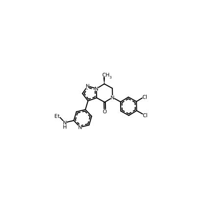 CCNc1cc(-c2cnn3c2C(=O)N(c2ccc(Cl)c(Cl)c2)C[C@@H]3C)ccn1